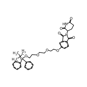 CC(C)(C)[Si](OCCOCCOCCOc1ccc2c(c1)C(=O)N(C1CCC(=O)NC1=O)C2=O)(c1ccccc1)c1ccccc1